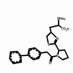 CC(=O)NC(CC1CSC(C2CCCN2C(=O)Cc2ccc(-c3ccccc3)cc2)=N1)C(=O)O